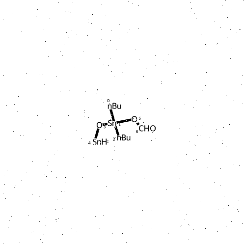 CCC[CH2][Sn]([CH2]CCC)([O][SnH])[O]C=O